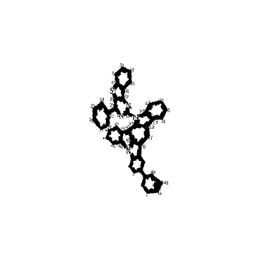 c1ccc(-c2ccc3c(c2)c2cc4c5ccccc5n(-c5nc(-c6ccccc6)c6sc7ccccc7c6n5)c4c4c5ccccc5n3c24)cc1